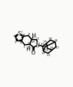 O=C1[C@H]2Cc3ccsc3C[C@@H]2CN1C1C2CC3CC(C2)CC1C3